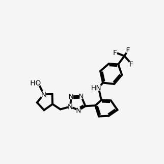 ON1CCC(Cn2nnc(-c3ccccc3Nc3ccc(C(F)(F)F)cc3)n2)C1